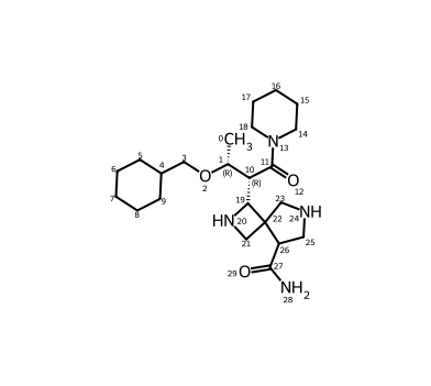 C[C@@H](OCC1CCCCC1)[C@H](C(=O)N1CCCCC1)C1NCC12CNCC2C(N)=O